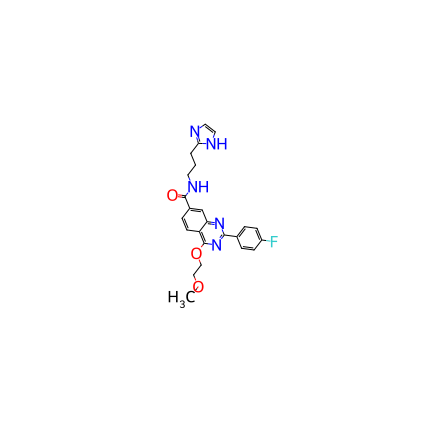 COCCOc1nc(-c2ccc(F)cc2)nc2cc(C(=O)NCCCc3ncc[nH]3)ccc12